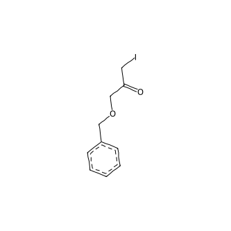 O=C(CI)COCc1ccccc1